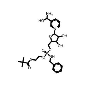 CC(C)(C)C(=O)SCCOP(=O)(NCc1ccccc1)OCC1OC([n+]2cccc(C(N)O)c2)C(O)C1O